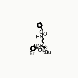 CC(C)(C)OC(=O)[C@H](CCCNC(=O)OCc1ccccc1)NC(=O)c1cccc(Br)c1